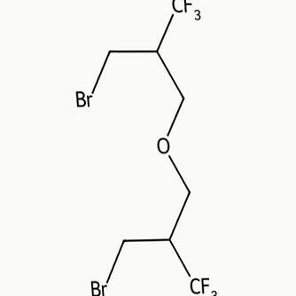 FC(F)(F)C(CBr)COCC(CBr)C(F)(F)F